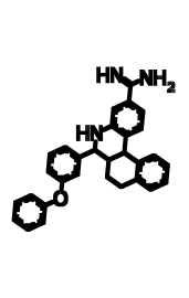 N=C(N)c1ccc2c(c1)NC(c1cccc(Oc3ccccc3)c1)C1CCc3ccccc3C21